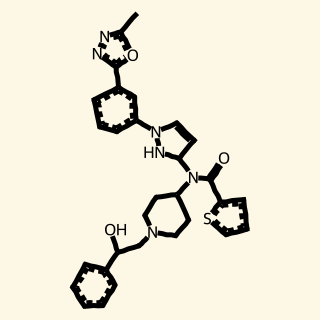 Cc1nnc(-c2cccc(N3C=CC(N(C(=O)c4cccs4)C4CCN(CC(O)c5ccccc5)CC4)N3)c2)o1